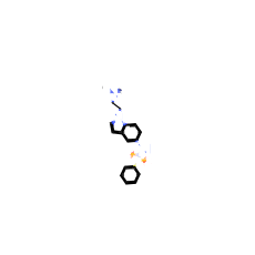 CN(C)CCn1ccc2cc(NS(=O)(=O)c3ccccc3)ccc21